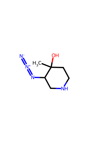 CC1(O)CCNCC1N=[N+]=[N-]